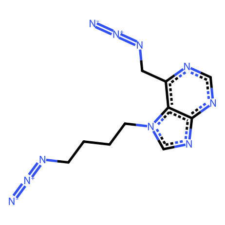 [N-]=[N+]=NCCCCn1cnc2ncnc(CN=[N+]=[N-])c21